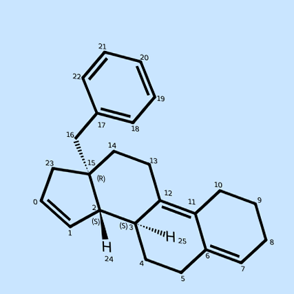 C1=C[C@H]2[C@@H]3CCC4=CCCCC4=C3CC[C@]2(Cc2ccccc2)C1